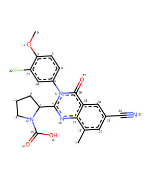 COc1ccc(-n2c(C3CCCN3C(=O)O)nc3c(C)cc(C#N)cc3c2=O)cc1F